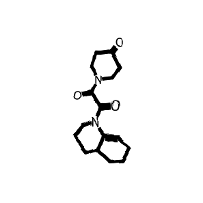 O=C1CCN(C(=O)C(=O)N2CCCC3CCCC=C32)CC1